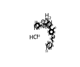 Cc1cc(OCCN2CCN(C)CC2)ccc1-c1cnc(N)c(C(=O)Nc2cccnc2)n1.Cl